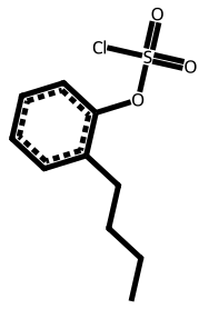 CCCCc1ccccc1OS(=O)(=O)Cl